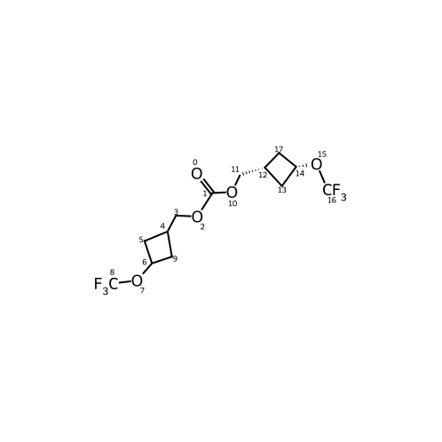 O=C(OCC1CC(OC(F)(F)F)C1)OC[C@H]1C[C@@H](OC(F)(F)F)C1